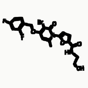 Cc1cc(OCc2ccc(F)cc2F)c(Br)c(=O)n1-c1ccc(C(=O)NCCO)o1